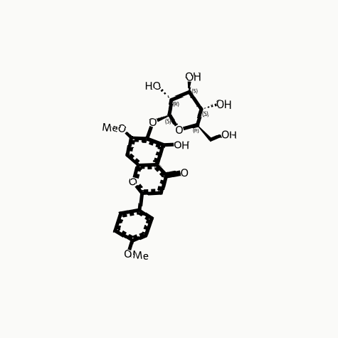 COc1ccc(-c2cc(=O)c3c(O)c(O[C@@H]4O[C@H](CO)[C@@H](O)[C@H](O)[C@H]4O)c(OC)cc3o2)cc1